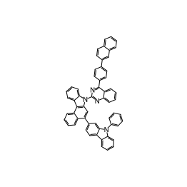 c1ccc(-n2c3ccccc3c3ccc(-c4cc5c(c6ccccc46)c4ccccc4n5-c4nc(-c5ccc(-c6ccc7ccccc7c6)cc5)c5ccccc5n4)cc32)cc1